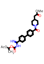 COC(=O)CC1CCN(C(=O)c2ccc(-c3ccc(C(=N)NC(=O)OC(C)OC(C)=O)cc3)cc2)CC1